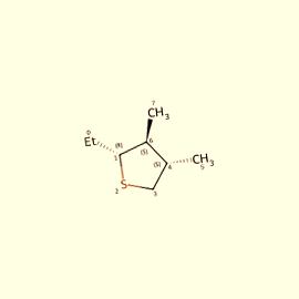 CC[C@H]1SC[C@@H](C)[C@@H]1C